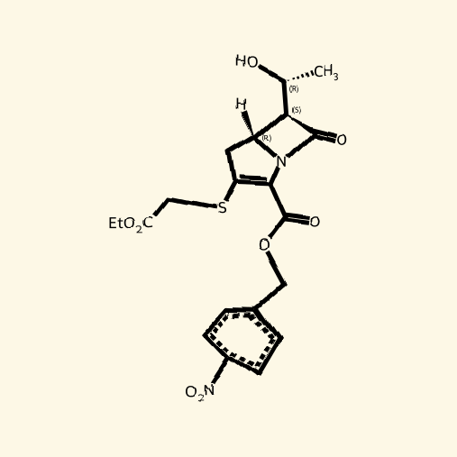 CCOC(=O)CSC1=C(C(=O)OCc2ccc([N+](=O)[O-])cc2)N2C(=O)[C@H]([C@@H](C)O)[C@H]2C1